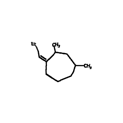 CCC=C1CCCC(C)CC1C